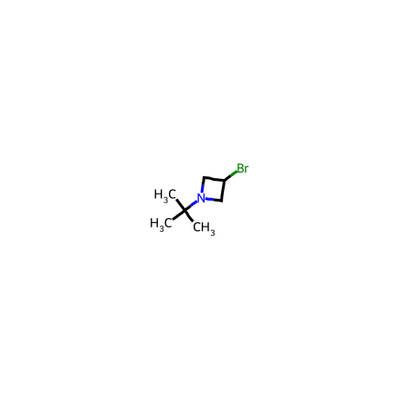 CC(C)(C)N1CC(Br)C1